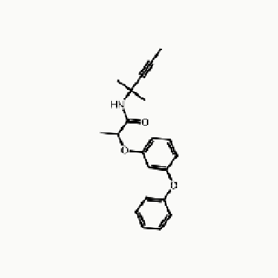 CC#CC(C)(C)NC(=O)C(C)Oc1cccc(Oc2ccccc2)c1